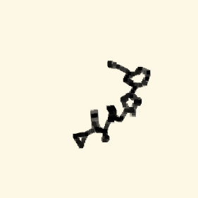 O=C(NCc1cc(-c2cccc(Cl)c2)on1)NC1CC1